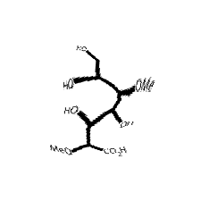 COC(C(=O)O)C(O)C(O)C(OC)C(O)CO